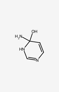 NC1(O)C=CN=CN1